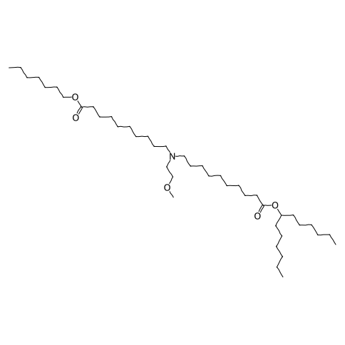 CCCCCCCOC(=O)CCCCCCCCCN(CCCCCCCCCC(=O)OC(CCCCCC)CCCCCC)CCOC